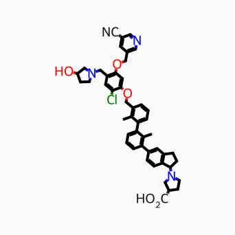 Cc1c(COc2cc(OCc3cncc(C#N)c3)c(CN3CCC(O)C3)cc2Cl)cccc1-c1cccc(-c2ccc3c(c2)CCC3N2CCC(C(=O)O)C2)c1C